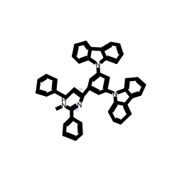 CN/C(=N\C(=C/Cc1ccccc1)c1cc(-n2c3ccccc3c3ccccc32)cc(-n2c3ccccc3c3ccccc32)c1)c1ccccc1